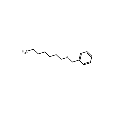 CCCCCCC[P]Cc1ccccc1